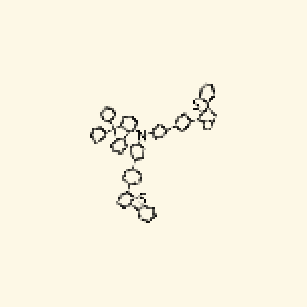 c1ccc(C2(c3ccccc3)c3ccccc3-c3c(N(c4ccc(-c5ccc(-c6cccc7c6sc6ccccc67)cc5)cc4)c4ccc(-c5ccc(-c6cccc7c6sc6ccccc67)cc5)cc4)cccc32)cc1